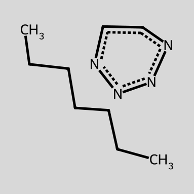 CCCCCCC.c1cnnnn1